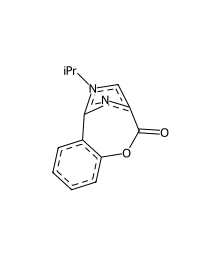 CC(C)n1cc2nc1-c1ccccc1OC2=O